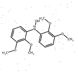 COc1cccc([SiH](O)c2cccc(OC)c2OC)c1OC